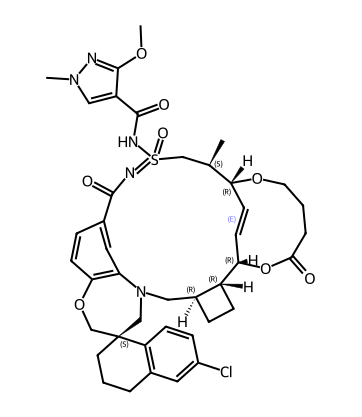 COc1nn(C)cc1C(=O)NS1(=O)=NC(=O)c2ccc3c(c2)N(C[C@@H]2CC[C@H]2[C@@H]2/C=C/[C@@H](OCCCC(=O)O2)[C@H](C)C1)C[C@@]1(CCCc2cc(Cl)ccc21)CO3